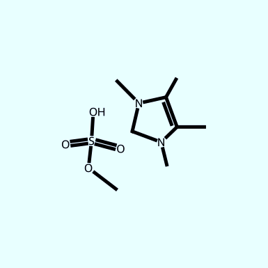 CC1=C(C)N(C)CN1C.COS(=O)(=O)O